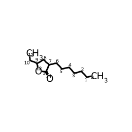 CCCCCCCC1CC(CC)OC1=O